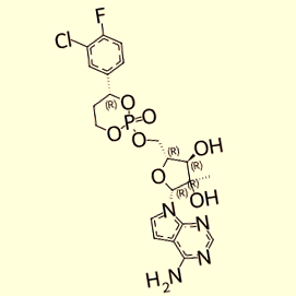 C[C@@]1(O)[C@H](O)[C@@H](COP2(=O)OCC[C@H](c3ccc(F)c(Cl)c3)O2)O[C@H]1n1ccc2c(N)ncnc21